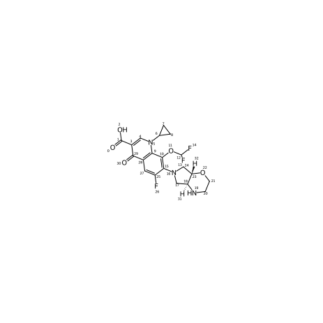 O=C(O)c1cn(C2CC2)c2c(OC(F)F)c(N3C[C@@H]4NCCO[C@H]4C3)c(F)cc2c1=O